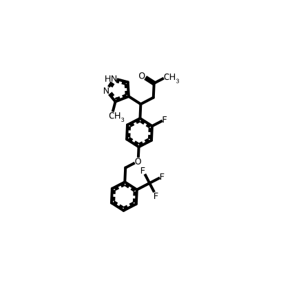 CC(=O)CC(c1ccc(OCc2ccccc2C(F)(F)F)cc1F)c1c[nH]nc1C